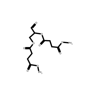 O=CC(COC(=O)CCC(=O)OP)OC(=O)CCC(=O)OP